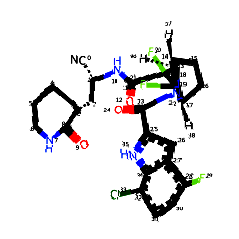 N#C[C@@H](C[C@H]1CCCNC1=O)NC(=O)[C@H]1[C@@H]2CC[C@@H](CC2(F)F)N1C(=O)c1cc2c(F)ccc(Cl)c2[nH]1